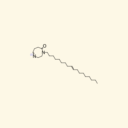 CCCCCCCCC=CCCCCCCCCN1CC/N=C\CCC1=O